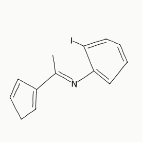 CC(=Nc1ccccc1I)C1=CCC=C1